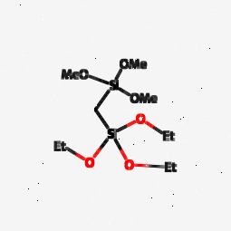 CCO[Si](C[Si](OC)(OC)OC)(OCC)OCC